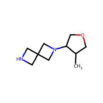 CC1COCC1N1CC2(CNC2)C1